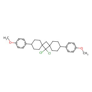 COc1ccc(C2CCC3(CC2)CC2(CCC(c4ccc(OC)cc4)CC2)C3(Cl)Cl)cc1